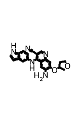 N#Cc1cnc2cc(OC3CCOC3)c(N)cc2c1Nc1ccc2[nH]ccc2c1